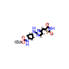 CC(C)(C)OC(=O)N[C@H]1CC[C@H](Nc2nccc(/C=C3\SC(=O)NC3=O)n2)CC1